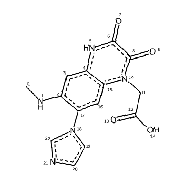 CNc1cc2[nH]c(=O)c(=O)n(CC(=O)O)c2cc1-n1ccnc1